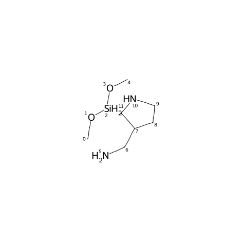 CO[SiH2]OC.NCC1CCNC1